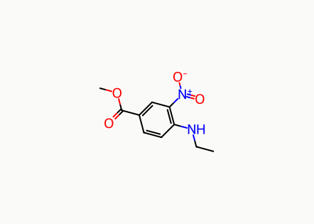 CCNc1ccc(C(=O)OC)cc1[N+](=O)[O-]